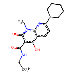 Cn1c(=O)c(C(=O)NCC(=O)O)c(O)c2ccc(C3CCCCC3)nc21